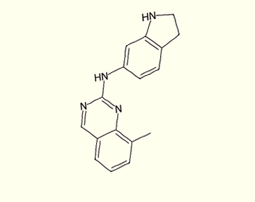 Cc1cccc2cnc(Nc3ccc4c(c3)NCC4)nc12